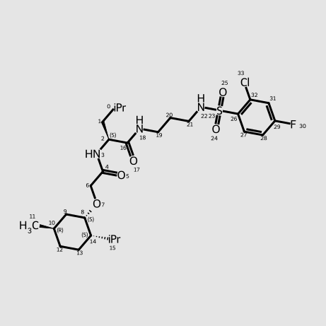 CC(C)C[C@H](NC(=O)CO[C@H]1C[C@H](C)CC[C@H]1C(C)C)C(=O)NCCCNS(=O)(=O)c1ccc(F)cc1Cl